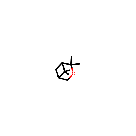 CC1(C)OCC2CC1C2(C)C